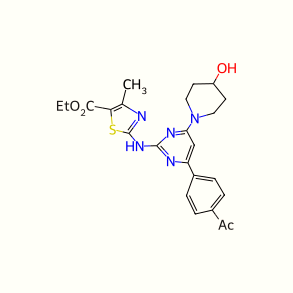 CCOC(=O)c1sc(Nc2nc(-c3ccc(C(C)=O)cc3)cc(N3CCC(O)CC3)n2)nc1C